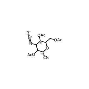 CC(=O)OCC1O[C@@H](C#N)C(OC(C)=O)C(N=[N+]=[N-])[C@H]1OC(C)=O